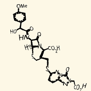 COc1ccc(C(O)C(=O)NC2C(=O)N3C(C(=O)O)=C(CSc4ccc5nn(CC(=O)O)c(=O)n5n4)CS[C@@H]23)cc1